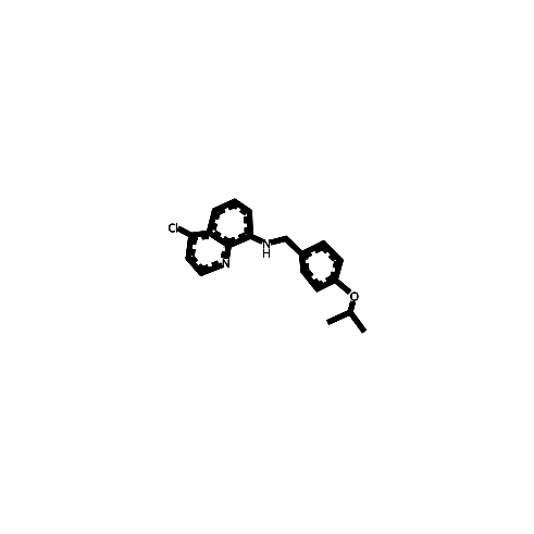 CC(C)Oc1ccc(CNc2cccc3c(Cl)ccnc23)cc1